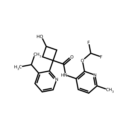 Cc1ccc(NC(=O)C2(c3ncccc3C(C)C)CC(O)C2)c(OC(F)F)n1